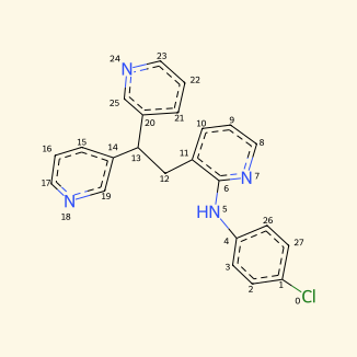 Clc1ccc(Nc2ncccc2CC(c2cccnc2)c2cccnc2)cc1